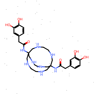 O=C(Cc1ccc(O)c(O)c1)NC12CNCCNCC(NC(=O)Cc3ccc(O)c(O)c3)(CNCCNC1)CNCCNC2